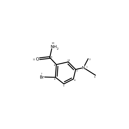 CN(C)c1ccc(Br)c(C(N)=O)c1